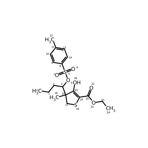 CCCC(OS(=O)(=O)c1ccc(C)cc1)C1(C)CSC(C(=O)OCC)=C1O